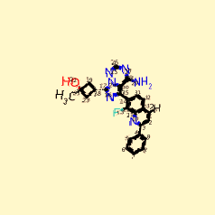 [2H]c1cc(-c2ccccc2)nc2c(F)c(-c3nc([C@H]4C[C@@](C)(O)C4)n4ncnc(N)c34)ccc12